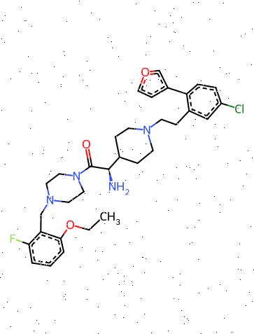 CCOc1cccc(F)c1CN1CCN(C(=O)[C@H](N)C2CCN(CCc3cc(Cl)ccc3-c3ccoc3)CC2)CC1